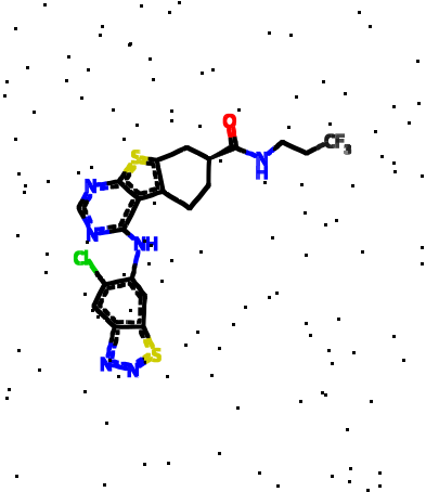 O=C(NCCC(F)(F)F)[C@H]1CCc2c(sc3ncnc(Nc4cc5snnc5cc4Cl)c23)C1